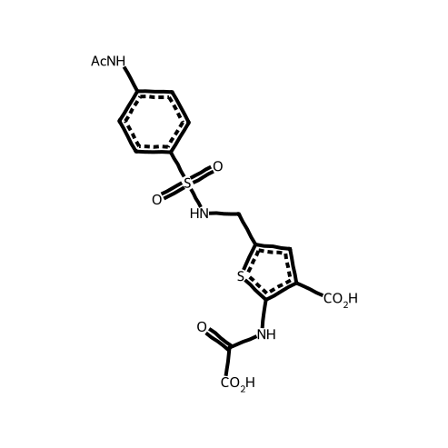 CC(=O)Nc1ccc(S(=O)(=O)NCc2cc(C(=O)O)c(NC(=O)C(=O)O)s2)cc1